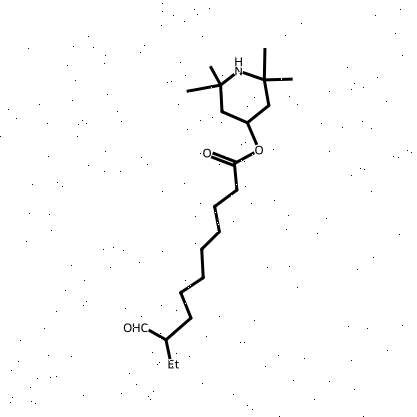 CCC(C=O)CCCCCCCC(=O)OC1CC(C)(C)NC(C)(C)C1